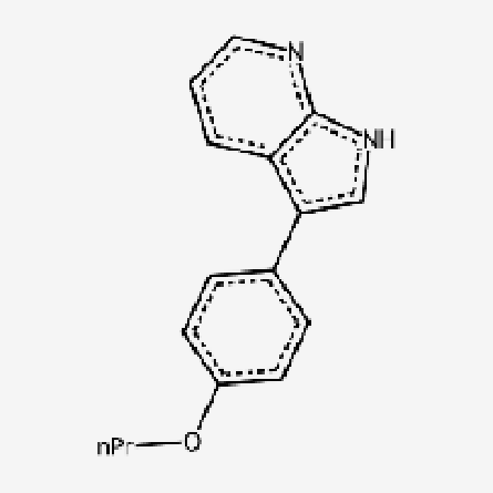 CCCOc1ccc(-c2c[nH]c3ncccc23)cc1